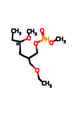 CCOCC(CO[PH](=O)OC)C[C@@H](CC)OC